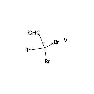 O=CC(Br)(Br)Br.[V]